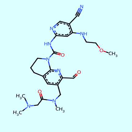 COCCNc1cc(NC(=O)N2CCCc3cc(CN(C)C(=O)CN(C)C)c(C=O)nc32)ncc1C#N